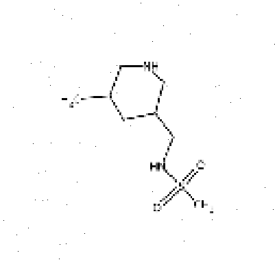 CC1CNCC(CNS(C)(=O)=O)C1